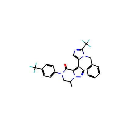 CC1CN(c2ccc(C(F)(F)F)cc2)C(=O)c2c(-c3cnc(C(F)(F)F)n3Cc3ccccc3)cnn21